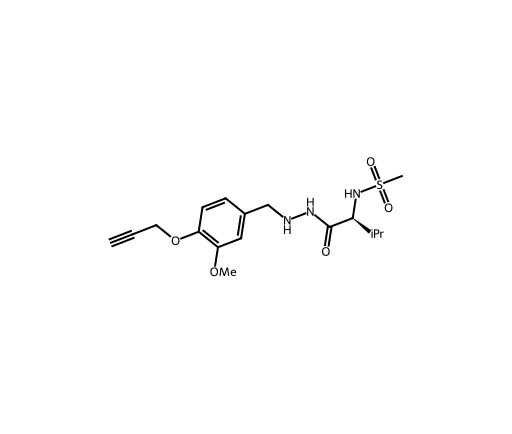 C#CCOc1ccc(CNNC(=O)[C@@H](NS(C)(=O)=O)C(C)C)cc1OC